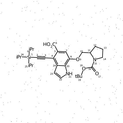 CC(C)[Si](C#Cc1c(C(=O)O)cc(OCC2CCCN2C(=O)OC(C)(C)C)c2[nH]ccc12)(C(C)C)C(C)C